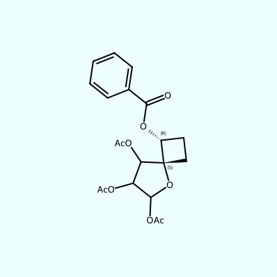 CC(=O)OC1O[C@]2(CC[C@H]2OC(=O)c2ccccc2)C(OC(C)=O)C1OC(C)=O